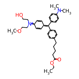 CCOC(=O)CCCCc1ccc(C(=C2C=CC(=[N+](CCO)CCOC)C=C2)c2ccc(N(C)C)cc2)cc1